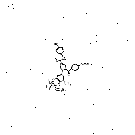 CCOC(=O)C(C)(C)Oc1c(C)cc([C@H]2CN(C(=O)Oc3ccc(Br)cc3)CC2C(=O)c2ccc(SC)cc2)cc1C